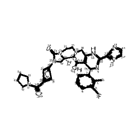 Cc1c(F)cccc1[C@@H]1N=C(c2nccs2)NC(CN2CCN3C(=O)N(C45CC(C(=O)N6CCCC6)(C4)C5)C[C@@H]3C2)=C1C(=O)O